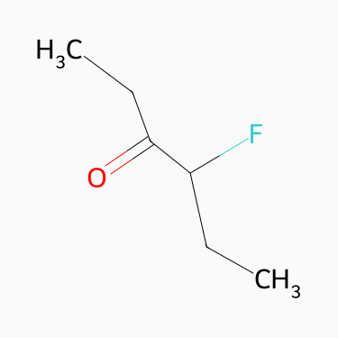 CCC(=O)C(F)CC